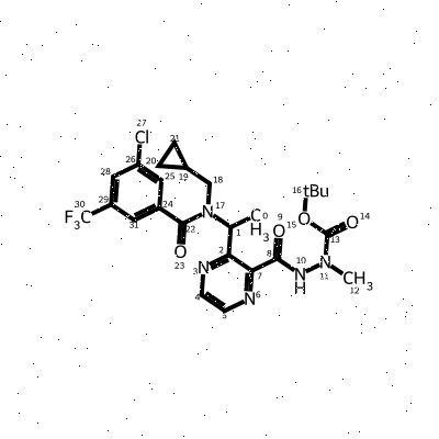 CC(c1nccnc1C(=O)NN(C)C(=O)OC(C)(C)C)N(CC1CC1)C(=O)c1cc(Cl)cc(C(F)(F)F)c1